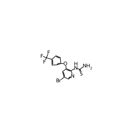 NC(=S)Nc1ncc(Br)cc1Oc1ccc(C(F)(F)F)cc1